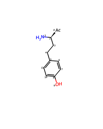 CC(=O)[C@H](N)CCc1ccc(O)cc1